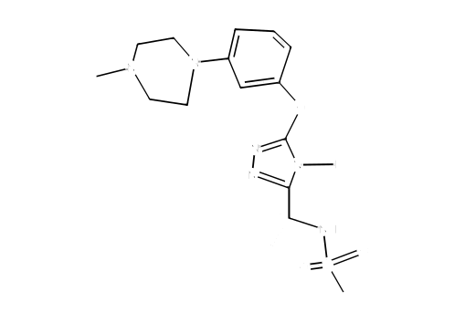 CCn1c(Oc2cccc(N3CCN(C)CC3)c2)nnc1[C@@H](C)NS(C)(=O)=O